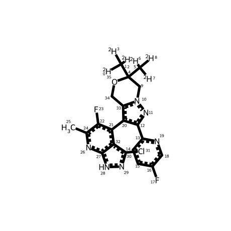 [2H]C([2H])([2H])C1(C([2H])([2H])[2H])Cn2nc(-c3ccc(F)cn3)c(-c3c(F)c(C)nc4[nH]nc(Cl)c34)c2CO1